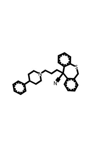 N#CC1(CCCN2CCC(c3ccccc3)CC2)c2ccccc2CSc2ccccc21